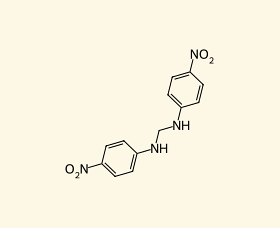 O=[N+]([O-])c1ccc(NCNc2ccc([N+](=O)[O-])cc2)cc1